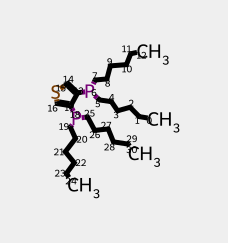 CCCCCCP(CCCCCC)c1cscc1P(CCCCCC)CCCCCC